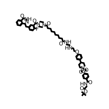 CC(C)(C)OC(=O)CNC(=O)c1ccc(S(=O)(=O)N2CCC(c3ccc(OCCNCCNC(=O)CCCCCCCCC(=O)N4CCN(C(=O)c5cc(Cc6n[nH]c(=O)c7ccccc67)ccc5F)CC4)cc3)CC2)cc1